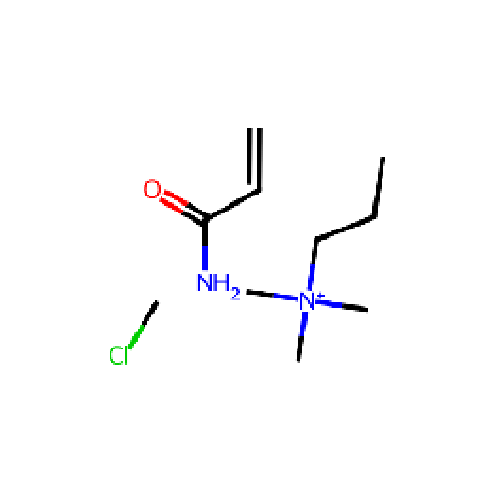 C=CC(N)=O.CCC[N+](C)(C)C.CCl